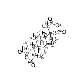 O=C1OC(=O)[C@H]2CC[C@H]3[C@H]4CC[C@H]5C(=O)OC(=O)[C@H]6CCC([C@@H]4[C@H]65)[C@H]4CCC1[C@@H]2[C@@H]34